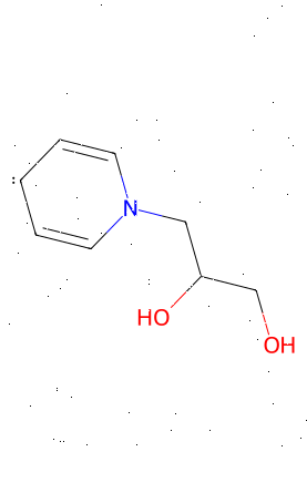 OCC(O)CN1C=C[C]C=C1